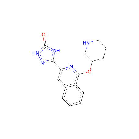 O=c1[nH]nc(-c2cc3ccccc3c(OC3CCCNC3)n2)[nH]1